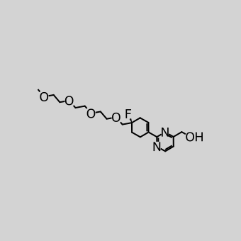 COCCOCCOCCOC[C@]1(F)CC=C(c2nccc(CO)n2)CC1